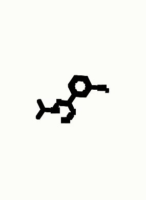 CC(C)N/N=C(\N=N)c1cccc(N)c1